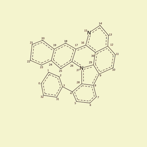 c1ccc(-c2cccc3c4ccc5ccnc6c7cc8ccccc8cc7n(c23)c4c56)cc1